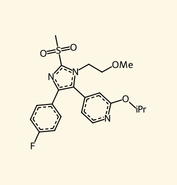 COCCn1c(S(C)(=O)=O)nc(-c2ccc(F)cc2)c1-c1ccnc(OC(C)C)c1